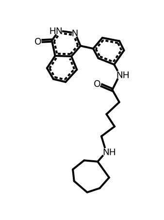 O=C(CCCCNC1CCCCCC1)Nc1cccc(-c2n[nH]c(=O)c3ccccc23)c1